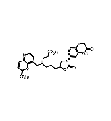 COc1ccc2nccc(CN(CCCC3CN(c4ccc5c(c4)NC(=O)CS5)C(=O)O3)CCC(=O)O)c2n1